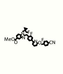 COC(=O)c1ccc2c(c1)nc(Cc1ccc(-c3cccc(OCc4ccc(C#N)cc4F)n3)cc1F)n2CC1(CF)CC1